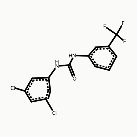 O=C(Nc1cc(Cl)cc(Cl)c1)Nc1cccc(C(F)(F)F)c1